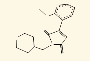 COc1ncccc1C1=CC(=O)N(CC2CCOCC2)C1=O